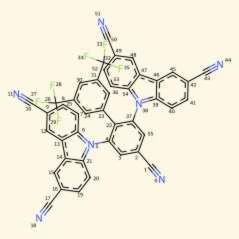 N#Cc1cc(-n2c3ccc(C#N)cc3c3cc(C#N)ccc32)c(-c2cc(C(F)(F)F)cc(C(F)(F)F)c2)c(-n2c3ccc(C#N)cc3c3cc(C#N)ccc32)c1